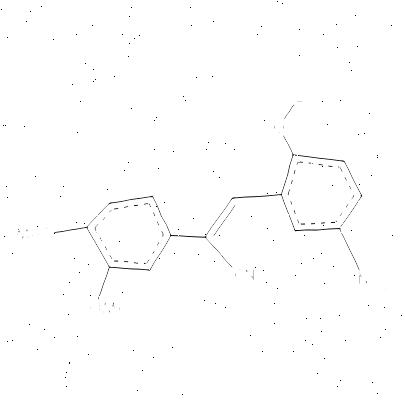 CCOc1ccc([N+](=O)[O-])cc1/C=C(\C#N)c1ccc(OC)c(OC)c1